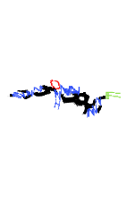 CN1CCN(c2ccc(C(=O)Nc3cc4cc(-c5cnn6c5CN(CCF)CC6)ccc4nn3)cn2)CC1